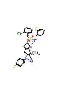 C[C@H]1C2=CNN(c3ccc(F)cc3)C2=CC2=C1[C@@H](CN(CCc1ccccc1F)S(=O)(=O)Cc1ccccc1Cl)CC2